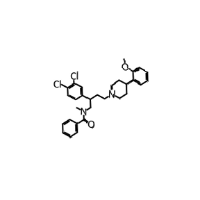 COc1ccccc1C1CCN(CCC(CN(C)C(=O)c2ccccc2)c2ccc(Cl)c(Cl)c2)CC1